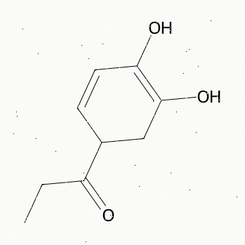 CCC(=O)C1C=CC(O)=C(O)C1